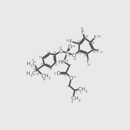 CC(C)COC(=O)CNP(=O)(Oc1ccc(C(C)(C)C)cc1)Oc1c(F)c(F)c(F)c(F)c1F